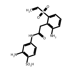 C=CS(=O)(=O)c1cccc(N)c1CC(=O)Nc1ccc(S(=O)(=O)O)c(N)c1